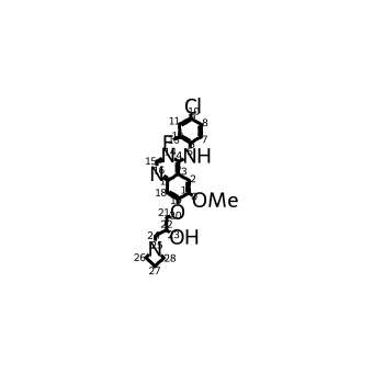 COc1cc2c(Nc3ccc(Cl)cc3F)ncnc2cc1OCC(O)CN1CCC1